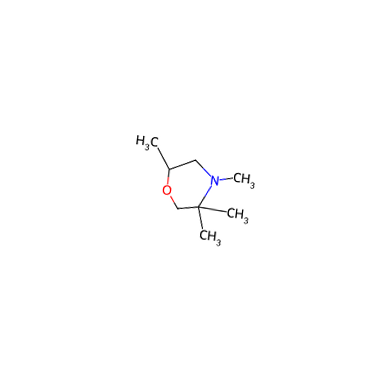 CC1CN(C)C(C)(C)CO1